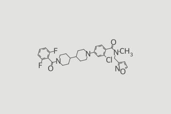 CN(Cc1ccon1)C(=O)c1ccc(N2CCC(C3CCN(C(=O)c4c(F)cccc4F)CC3)CC2)cc1Cl